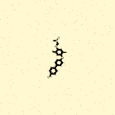 CCN(C)C=Nc1cc(C)c(Oc2ccc(-c3ccc(Cl)cc3)cc2)cc1C